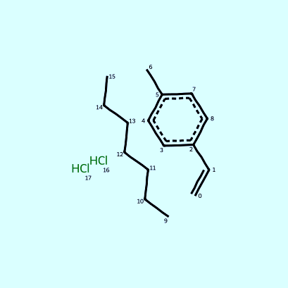 C=Cc1ccc(C)cc1.CCCCCCC.Cl.Cl